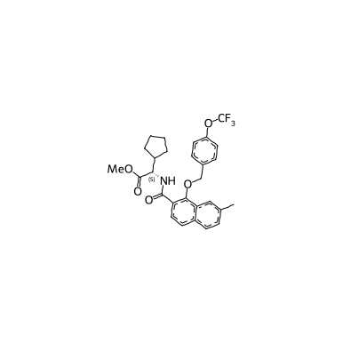 COC(=O)[C@@H](NC(=O)c1ccc2ccc(C)cc2c1OCc1ccc(OC(F)(F)F)cc1)C1CCCC1